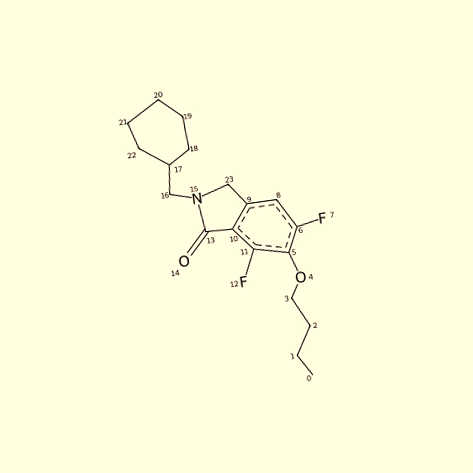 CCCCOc1c(F)cc2c(c1F)C(=O)N(CC1CCCCC1)C2